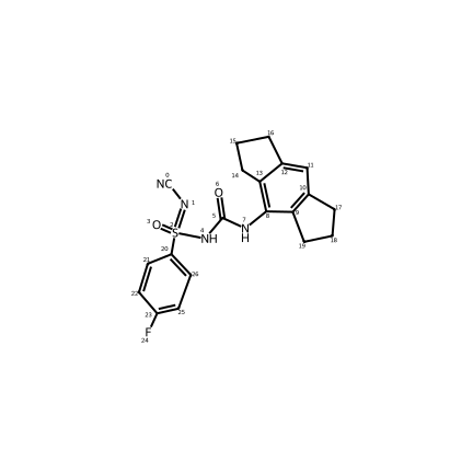 N#CN=S(=O)(NC(=O)Nc1c2c(cc3c1CCC3)CCC2)c1ccc(F)cc1